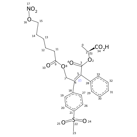 C[C@H](OC(=O)/C(=C(\COC(=O)CCCCCO[N+](=O)[O-])c1ccc(S(C)(=O)=O)cc1)c1ccccc1)C(=O)O